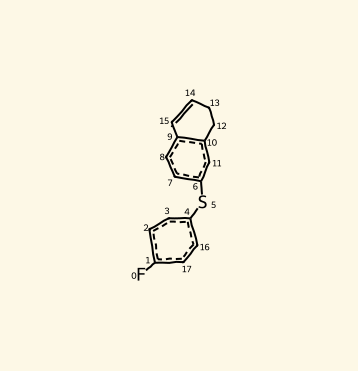 Fc1ccc(Sc2ccc3c(c2)CCC=[C]3)cc1